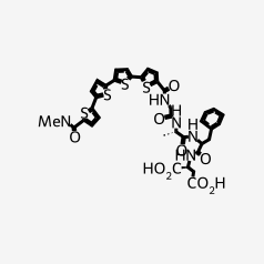 CNC(=O)c1ccc(-c2ccc(-c3ccc(-c4ccc(C(=O)NCC(=O)N[C@@H](C)C(=O)NC(Cc5ccccc5)C(=O)N[C@@H](CC(=O)O)C(=O)O)s4)s3)s2)s1